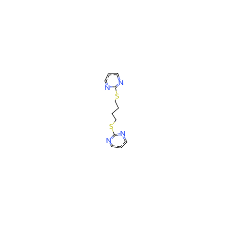 c1cnc(SCCCCSc2ncccn2)nc1